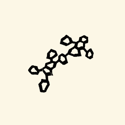 c1ccc(-c2cc3c(cc2-c2ccc(-c4ccc5c(-c6ccccc6)c6ccccc6c(-c6ccccc6)c5c4)cc2)nc(-c2ccccc2)n3-c2ccccc2)cc1